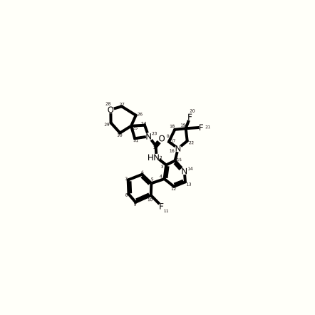 O=C(Nc1c(-c2ccccc2F)ccnc1N1CCC(F)(F)C1)N1CC2(CCOCC2)C1